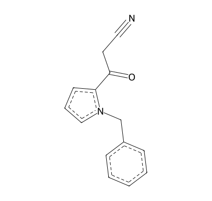 N#CCC(=O)c1cccn1Cc1ccccc1